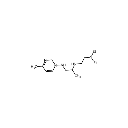 CCN(CC)CCNC(C)CNN1C=CC(C)=NC1